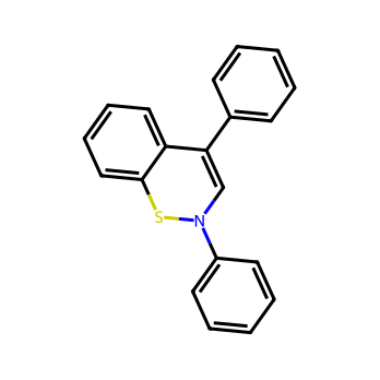 C1=C(c2ccccc2)c2ccccc2SN1c1ccccc1